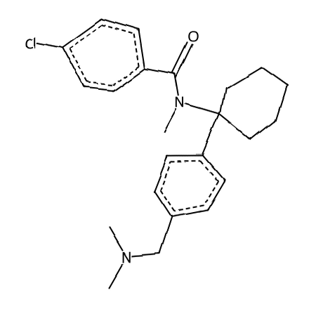 CN(C)Cc1ccc(C2(N(C)C(=O)c3ccc(Cl)cc3)CCCCC2)cc1